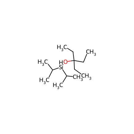 CCC(CC)(CC)O[SiH](C(C)C)C(C)C